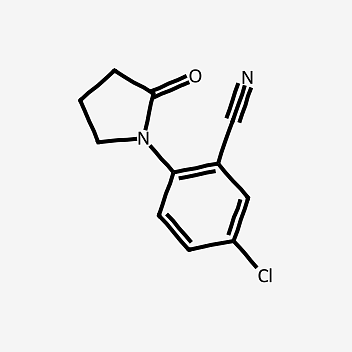 N#Cc1cc(Cl)ccc1N1CCCC1=O